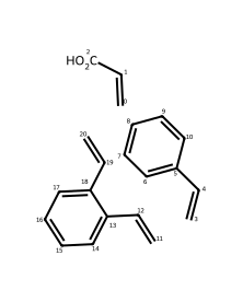 C=CC(=O)O.C=Cc1ccccc1.C=Cc1ccccc1C=C